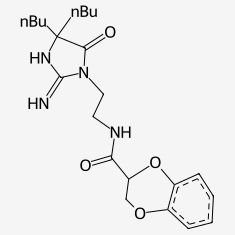 CCCCC1(CCCC)NC(=N)N(CCNC(=O)C2COc3ccccc3O2)C1=O